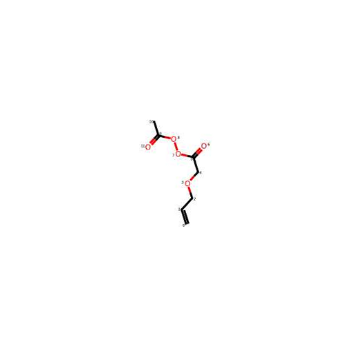 C=CCOCC(=O)OOC(C)=O